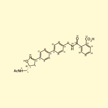 CC(=O)NC[C@H]1CC(c2ccc(-c3ccc(CNC(=O)c4ccccc4C(=O)O)cc3)cc2)=NO1